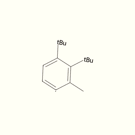 Cc1[c]ccc(C(C)(C)C)c1C(C)(C)C